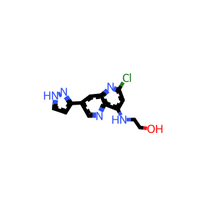 OCCNc1cc(Cl)nc2cc(-c3cc[nH]n3)cnc12